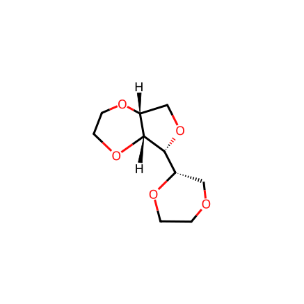 C1CO[C@H]([C@H]2OC[C@H]3OCCO[C@@H]23)CO1